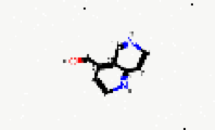 O=Cc1ccnc2ccncc12